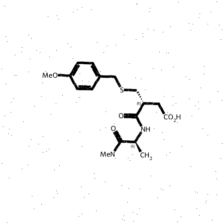 CNC(=O)[C@H](C)NC(=O)[C@H](CSCc1ccc(OC)cc1)CC(=O)O